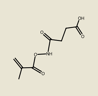 C=C(C)C(=O)ONC(=O)CCC(=O)O